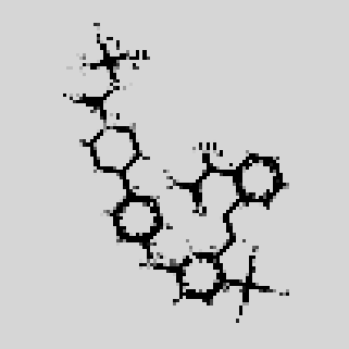 CC(C(=O)O)c1ccccc1CCc1nc(Nc2ccc(C3CCN(C(=O)OC(C)(C)C)CC3)cc2)ncc1C(F)(F)F